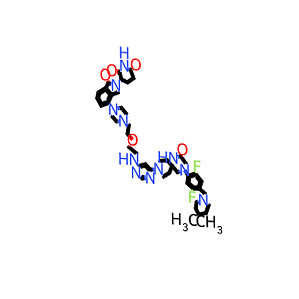 CC1(C)CCN(Cc2cc(F)c(N3CC(=O)NC4(CCN(c5cc(NCCOCCN6CCN(c7cccc8c7CN(C7CCC(=O)NC7=O)C8=O)CC6)ncn5)CC4)C3)cc2F)CC1